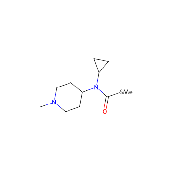 CSC(=O)N(C1CC1)C1CCN(C)CC1